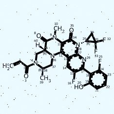 C=CC(=O)N1C[C@@H]2C(=O)N(C)c3c(c4cc(F)c(-c5c(O)cccc5F)nc4n([C@@H]4CC4(F)F)c3=O)N2C[C@H]1C